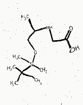 C[C@H](CO[Si](C)(C)C(C)(C)C)NCC(=O)O